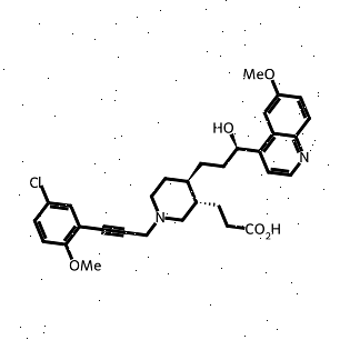 COc1ccc2nccc([C@H](O)CC[C@@H]3CCN(CC#Cc4cc(Cl)ccc4OC)C[C@H]3CCC(=O)O)c2c1